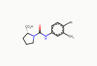 Cc1cc(NC(=O)N2CCC[C@@H]2C(=O)O)ccc1C(C)C